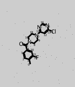 Cc1ccc(C(=O)N2CCN(c3cc(Cl)ncn3)CC2)cc1F